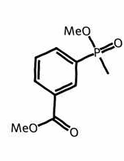 COC(=O)c1cccc(P(C)(=O)OC)c1